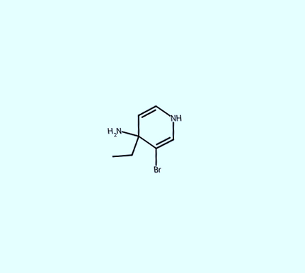 CCC1(N)C=CNC=C1Br